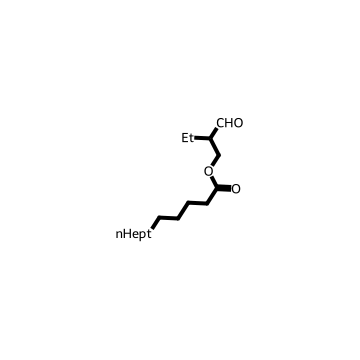 CCCCCCCCCCCC(=O)OCC(C=O)CC